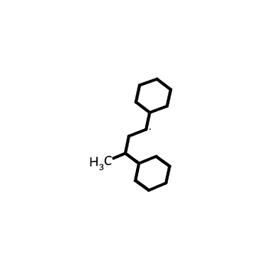 CC(C[CH]C1CCCCC1)C1CCCCC1